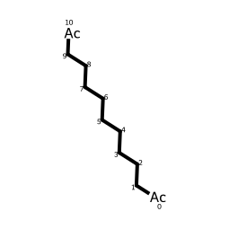 CC(=O)CCCCCCCCCC(C)=O